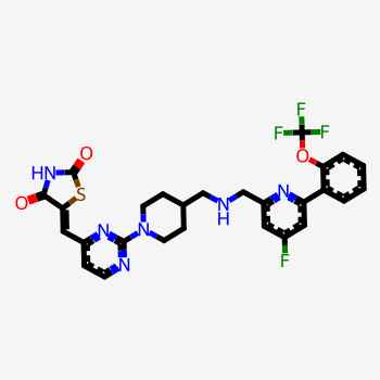 O=C1NC(=O)C(=Cc2ccnc(N3CCC(CNCc4cc(F)cc(-c5ccccc5OC(F)(F)F)n4)CC3)n2)S1